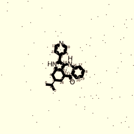 CC(C)[C@H]1Cc2[nH]c(-c3ccncc3)c(Nc3ccccc3)c2C(C=O)C1